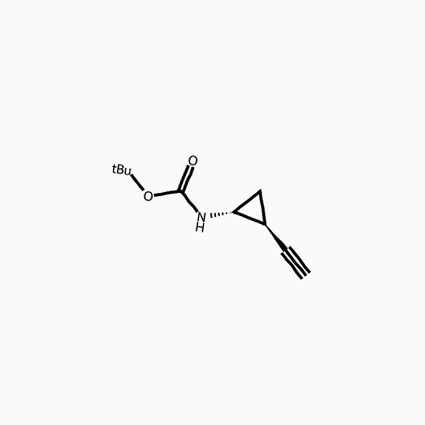 C#C[C@@H]1C[C@H]1NC(=O)OC(C)(C)C